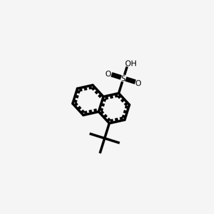 CC(C)(C)c1ccc(S(=O)(=O)O)c2ccccc12